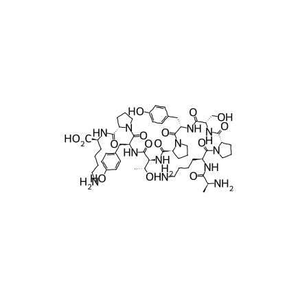 C[C@H](N)C(=O)N[C@@H](CCCCN)C(=O)N1CCC[C@H]1C(=O)N[C@@H](CO)C(=O)N[C@@H](Cc1ccc(O)cc1)C(=O)N1CCC[C@H]1C(=O)N[C@H](C(=O)N[C@@H](Cc1ccc(O)cc1)C(=O)N1CCC[C@H]1C(=O)N[C@@H](CCCCN)C(=O)O)[C@@H](C)O